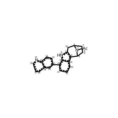 CC(=O)N1C2CCC1c1c([nH]c3c(-c4ccc5ncccc5c4)cccc13)C2